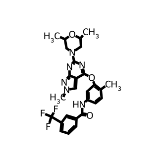 Cc1ccc(NC(=O)c2cccc(C(F)(F)F)c2)cc1Oc1nc(N2CC(C)OC(C)C2)nc2nn(C)cc12